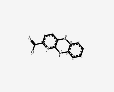 O=C(Cl)c1ccc2c(n1)Nc1ccccc1S2